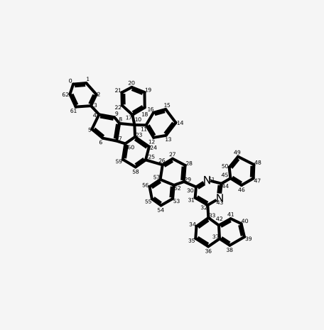 c1ccc(-c2ccc3c(c2)C(c2ccccc2)(c2ccccc2)c2cc(-c4ccc(-c5cc(-c6cccc7ccccc67)nc(-c6ccccc6)n5)c5ccccc45)ccc2-3)cc1